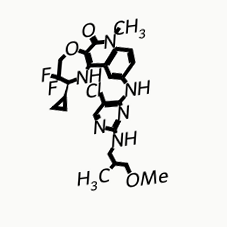 COCC(C)CNc1ncc(Cl)c(Nc2ccc3c(c2)c2c(c(=O)n3C)OCC(F)(F)[C@H](C3CC3)N2)n1